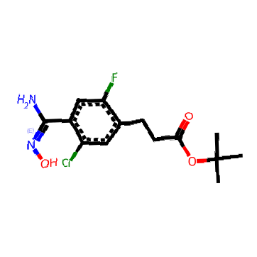 CC(C)(C)OC(=O)CCc1cc(Cl)c(/C(N)=N\O)cc1F